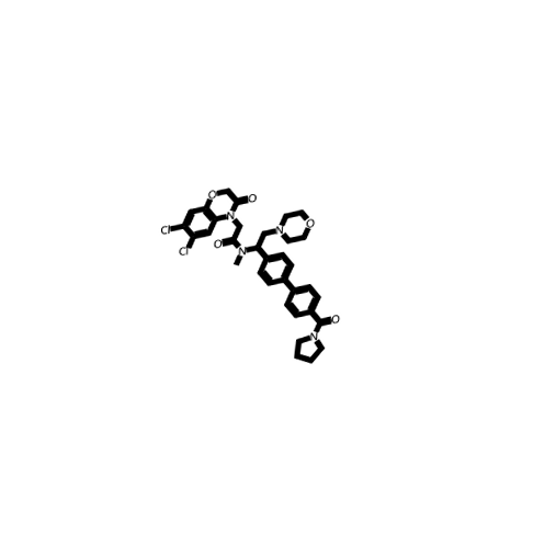 CN(C(=O)CN1C(=O)COc2cc(Cl)c(Cl)cc21)C(CN1CCOCC1)c1ccc(-c2ccc(C(=O)N3CCCC3)cc2)cc1